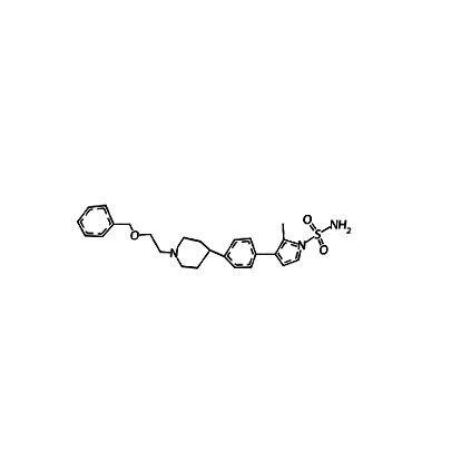 Cc1c(-c2ccc(C3CCN(CCOCc4ccccc4)CC3)cc2)ccn1S(N)(=O)=O